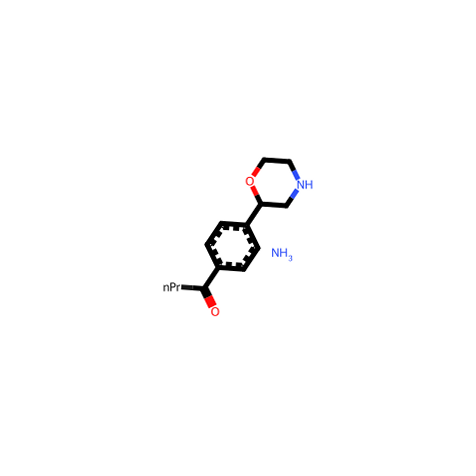 CCCC(=O)c1ccc(C2CNCCO2)cc1.N